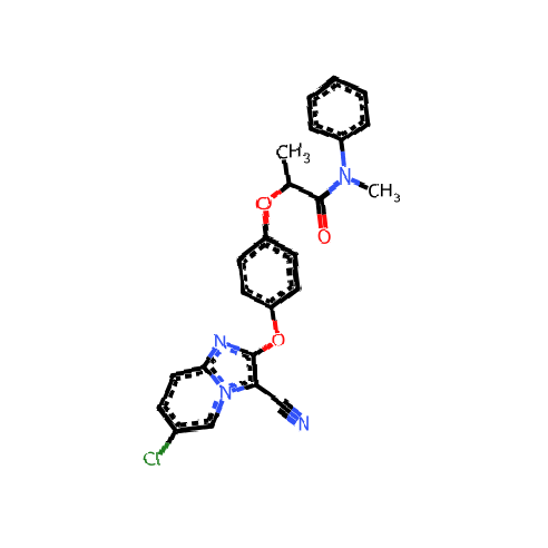 CC(Oc1ccc(Oc2nc3ccc(Cl)cn3c2C#N)cc1)C(=O)N(C)c1ccccc1